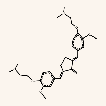 COc1cc(/C=C2\CC/C(=C\c3ccc(OCCN(C)C)c(OC)c3)C2=O)ccc1OCCN(C)C